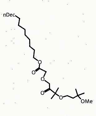 CCCCCCCCCCCCCCCCCCOC(=O)COCC(=O)C(C)(C)OCCC(C)(C)OC